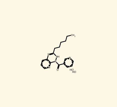 CCCCCCC1=Nc2cccnc2N(C(=O)c2cccnc2)N1.Cl.Cl